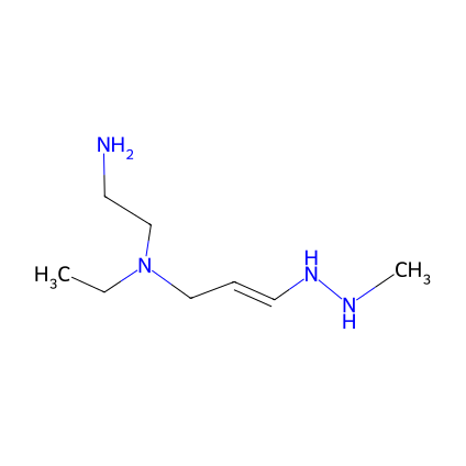 CCN(C/C=C/NNC)CCN